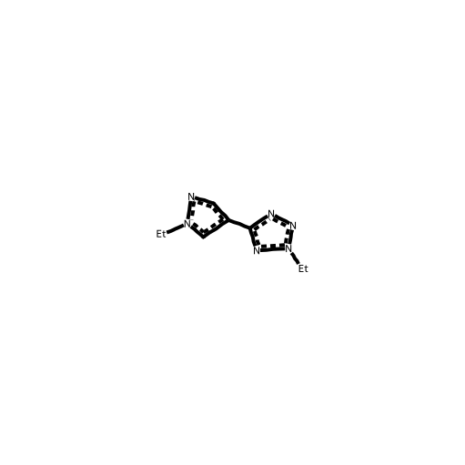 CCn1cc(-c2nnn(CC)n2)cn1